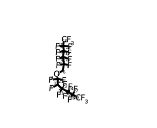 FC(C(F)(F)OCC(F)(F)C(F)(F)C(F)(F)C(F)(F)C(F)(F)F)C(F)(F)C(F)(F)C(F)(F)C(F)(F)F